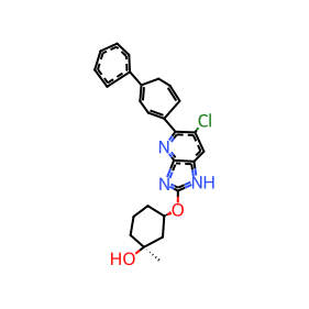 C[C@]1(O)CCC[C@@H](Oc2nc3nc(C4=CC=C(c5ccccc5)CC=C4)c(Cl)cc3[nH]2)C1